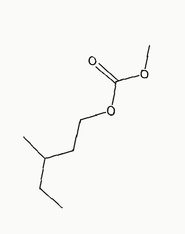 CCC(C)CCOC(=O)OC